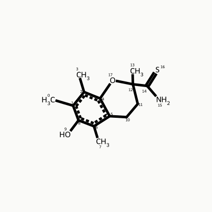 Cc1c(C)c2c(c(C)c1O)CCC(C)(C(N)=S)O2